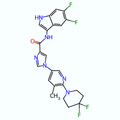 Cc1cc(-n2cnc(C(=O)Nc3c[nH]c4cc(F)c(F)cc34)c2)cnc1N1CCC(F)(F)CC1